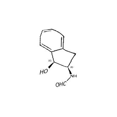 O=CN[C@@H]1Cc2ccccc2[C@@H]1O